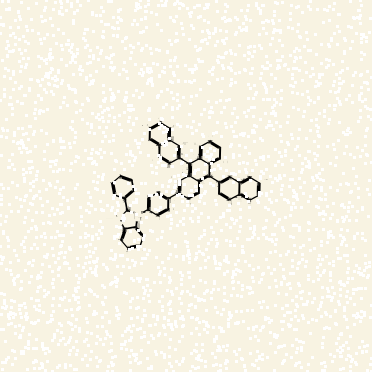 c1ccc(C2Nc3ccccc3N2c2ccc(-c3ccc4c(-c5ccc6ccccc6c5)c5ccccc5c(-c5ccc6ccccc6c5)c4c3)cc2)cc1